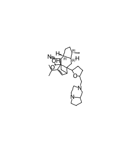 CC(C)C1=CC2CC3(C#N)[C@@H]4CC[C@@H](C)[C@H]4CC2(C2CCC(CN4CCN5CCCC5C4)O2)C13C(=O)O